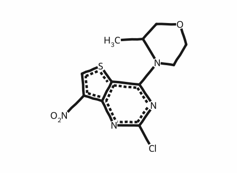 CC1COCCN1c1nc(Cl)nc2c([N+](=O)[O-])csc12